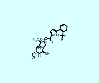 CC1[C@@H](OC(=O)c2ccc(C3=C(C(F)(F)F)CCC=C3)o2)CN2C(=N)N[C@@H](CO)C3NSN(O)C312